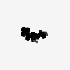 CCCCc1ncc(/C=C(\Cc2cccs2)C(N)=O)n1Cc1ccc2oc(-c3ccccc3-c3nnn(C(c4ccccc4)(c4ccccc4)c4ccccc4)n3)c(Br)c2c1